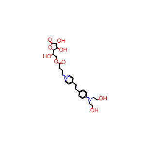 O=C(CCC[n+]1ccc(/C=C/c2ccc(N(CCO)CCO)cc2)cc1)OCC(O)C1OC(=O)C(O)=C1O